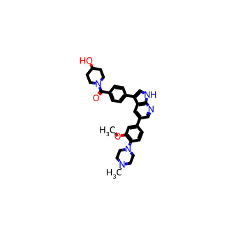 COc1cc(-c2cnc3[nH]cc(-c4ccc(C(=O)N5CCC(O)CC5)cc4)c3c2)ccc1N1CCN(C)CC1